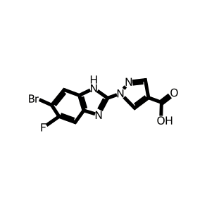 O=C(O)c1cnn(-c2nc3cc(F)c(Br)cc3[nH]2)c1